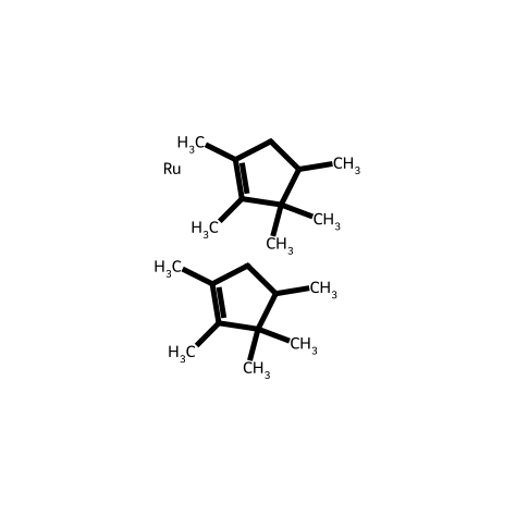 CC1=C(C)C(C)(C)C(C)C1.CC1=C(C)C(C)(C)C(C)C1.[Ru]